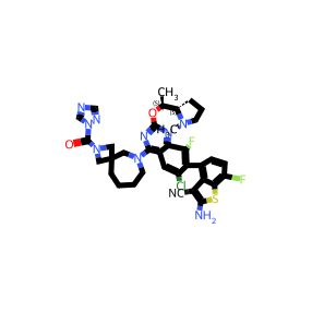 C[C@H](Oc1nc(N2CCCCC3(CN(C(=O)n4cncn4)C3)C2)c2cc(Cl)c(-c3ccc(F)c4sc(N)c(C#N)c34)c(F)c2n1)[C@@H]1CCCN1C